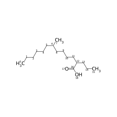 CCCCCCC(C)CCCCC(CCC)C(=O)O